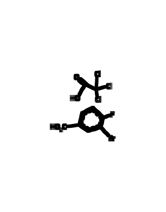 O=C(O)C(Cl)(Cl)Cl.O=C(O)c1ccc(F)c(Br)c1